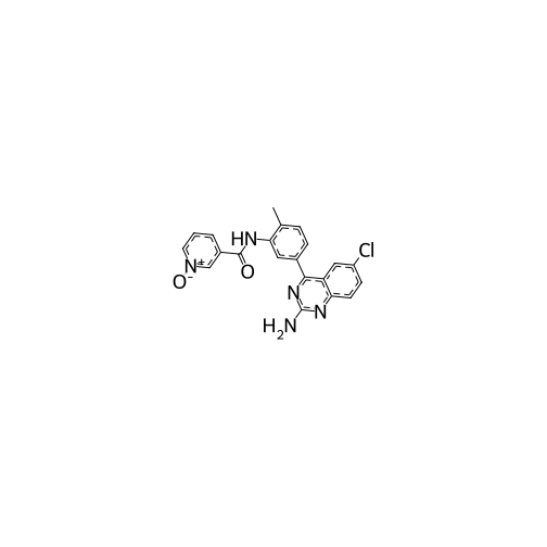 Cc1ccc(-c2nc(N)nc3ccc(Cl)cc23)cc1NC(=O)c1ccc[n+]([O-])c1